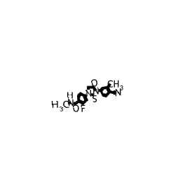 CNC(=O)c1ccc(N2CC(=O)N(c3ccc(C#N)c(C)c3)C2=S)cc1F